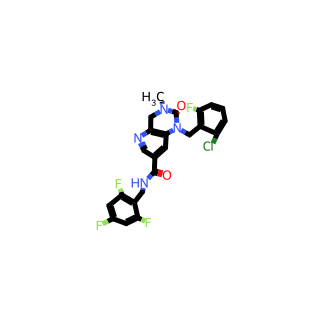 CN1Cc2ncc(C(=O)NCc3c(F)cc(F)cc3F)cc2N(Cc2c(F)cccc2Cl)C1=O